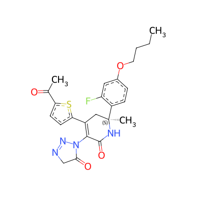 CCCCOc1ccc([C@]2(C)CC(c3ccc(C(C)=O)s3)=C(N3N=NCC3=O)C(=O)N2)c(F)c1